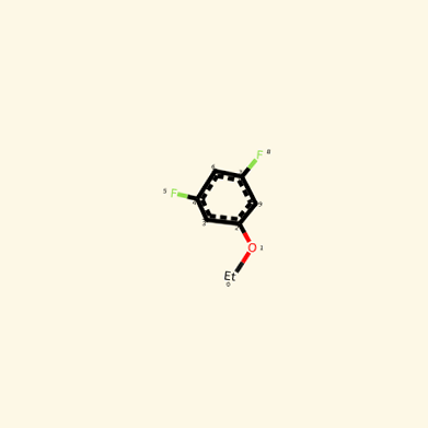 CCOc1[c]c(F)cc(F)c1